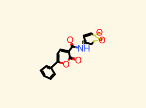 O=C(N[C@@H]1C=CS(=O)(=O)C1)c1ccc(-c2ccccc2)oc1=O